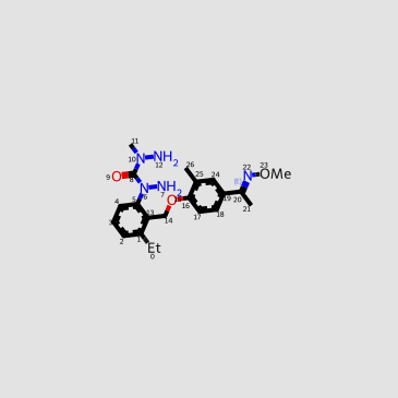 CCc1cccc(N(N)C(=O)N(C)N)c1COc1ccc(/C(C)=N/OC)cc1C